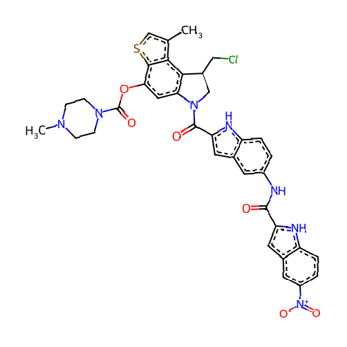 Cc1csc2c(OC(=O)N3CCN(C)CC3)cc3c(c12)C(CCl)CN3C(=O)c1cc2cc(NC(=O)c3cc4cc([N+](=O)[O-])ccc4[nH]3)ccc2[nH]1